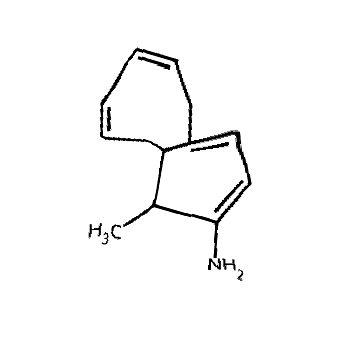 CC1C(N)=CC=C2C=CC=CC21